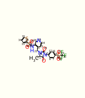 CC1C(=O)N(c2ccc(S(=O)(=O)C(F)(F)F)cc2)C(=O)N1Cc1ccncc1NS(=O)(=O)c1cccs1